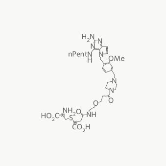 CCCCCNc1nc(N)nc2ccn(Cc3ccc(CN4CCN(C(=O)CCOCCNC(=O)C[C@@H](SC[C@H](N)C(=O)O)C(=O)O)CC4)cc3OC)c12